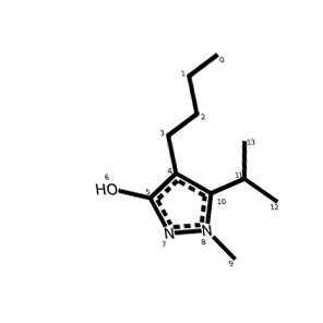 CCCCc1c(O)nn(C)c1C(C)C